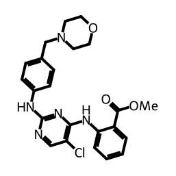 COC(=O)c1ccccc1Nc1nc(Nc2ccc(CN3CCOCC3)cc2)ncc1Cl